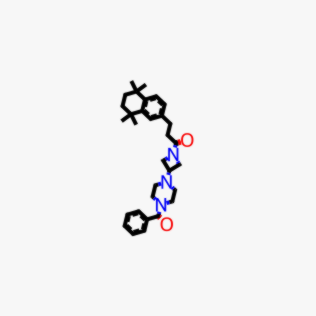 CC1(C)CCC(C)(C)c2cc(CCC(=O)N3CC(N4CCN(C(=O)c5ccccc5)CC4)C3)ccc21